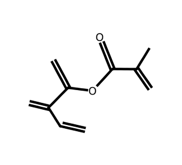 C=CC(=C)C(=C)OC(=O)C(=C)C